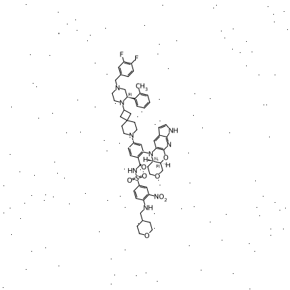 Cc1ccccc1[C@@H]1CN(Cc2ccc(F)c(F)c2)CCN1C1CC2(CCN(c3ccc(C(=O)NS(=O)(=O)c4ccc(NCC5CCOCC5)c([N+](=O)[O-])c4)c(N4c5cc6cc[nH]c6nc5O[C@H]5COCC[C@@H]54)c3)CC2)C1